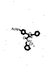 CC(=O)Nc1ccc(-c2oc(-c3ccccc3)nc2C(=O)NCc2ccccc2C(F)(F)F)cc1